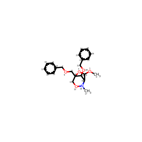 COC1OC2(COCc3ccccc3)CON(C)C1C2OCc1ccccc1